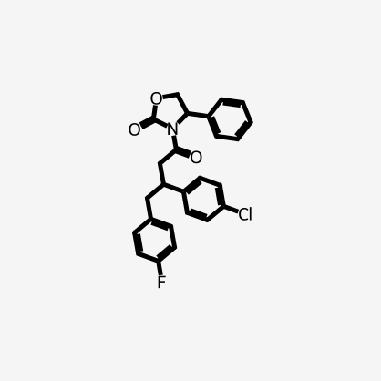 O=C(CC(Cc1ccc(F)cc1)c1ccc(Cl)cc1)N1C(=O)OCC1c1ccccc1